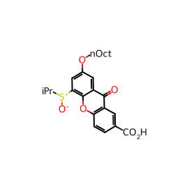 CCCCCCCCOc1cc([S+]([O-])C(C)C)c2oc3ccc(C(=O)O)cc3c(=O)c2c1